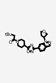 CC(C)(C)CC(=O)N1CCC(c2nc(-c3ccc4cnn(C5CCOC5)c4c3)no2)CC1